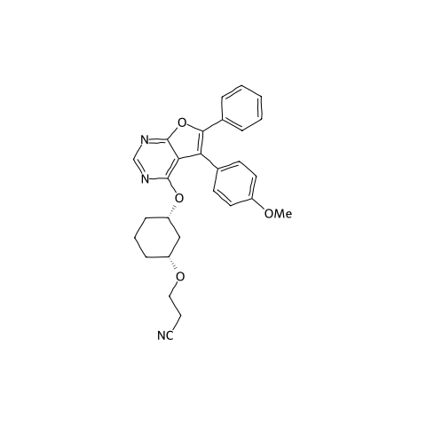 COc1ccc(-c2c(-c3ccccc3)oc3ncnc(O[C@H]4CCC[C@@H](OCCC#N)C4)c23)cc1